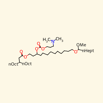 CCCCCCCCC(CCCCCCCC)CC(=O)OCCC(CCCCCCCCCCOC(CCCCCCC)OC)OC(=O)OCCCN(C)C